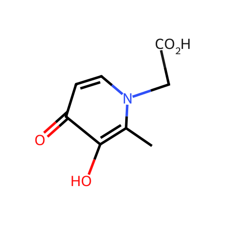 Cc1c(O)c(=O)ccn1CC(=O)O